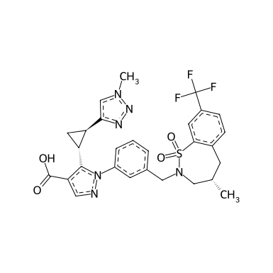 C[C@H]1Cc2ccc(C(F)(F)F)cc2S(=O)(=O)N(Cc2cccc(-n3ncc(C(=O)O)c3[C@@H]3C[C@H]3c3cn(C)nn3)c2)C1